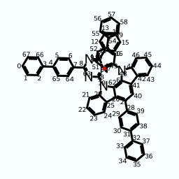 c1ccc(-c2ccc(-c3nc(-c4ccccc4)nc(-n4c5ccccc5c5c(-c6ccc(-c7ccccc7)cc6)cc6c7ccccc7n(-c7cccc(-c8ccccc8)c7)c6c54)n3)cc2)cc1